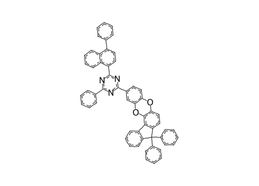 c1ccc(-c2nc(-c3ccc4c(c3)Oc3c(ccc5c3-c3ccccc3C5(c3ccccc3)c3ccccc3)O4)nc(-c3ccc(-c4ccccc4)c4ccccc34)n2)cc1